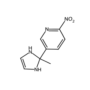 CC1(c2ccc([N+](=O)[O-])nc2)NC=CN1